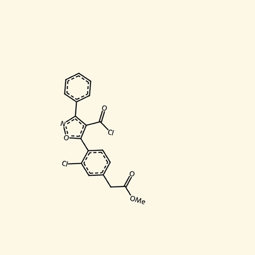 COC(=O)Cc1ccc(-c2onc(-c3ccccc3)c2C(=O)Cl)c(Cl)c1